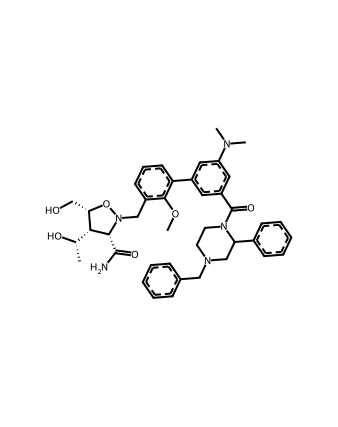 COc1c(CN2O[C@@H](CO)[C@@H]([C@H](C)O)[C@H]2C(N)=O)cccc1-c1cc(C(=O)N2CCN(Cc3ccccc3)CC2c2ccccc2)cc(N(C)C)c1